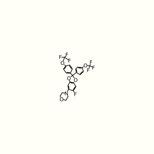 Fc1cc2c(cc1N1CCOCC1)OC(c1ccc(OC(F)(F)F)cc1)(c1ccc(OC(F)(F)F)cc1)O2